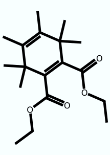 CCOC(=O)C1=C(C(=O)OCC)C(C)(C)C(C)=C(C)C1(C)C